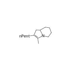 CCCCCC1=C(C)N2CCCCC2C1